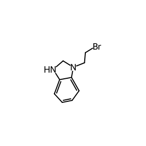 BrCCN1CNc2ccccc21